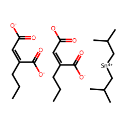 CC(C)[CH2][Sn+4][CH2]C(C)C.CCC/C(=C/C(=O)[O-])C(=O)[O-].CCC/C(=C/C(=O)[O-])C(=O)[O-]